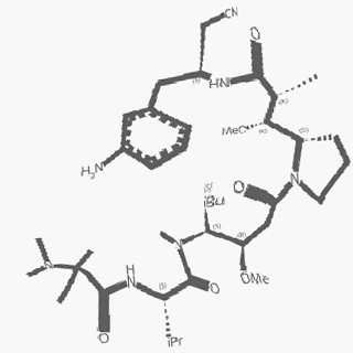 CC[C@H](C)[C@@H]([C@@H](CC(=O)N1CCC[C@H]1[C@H](OC)[C@@H](C)C(=O)N[C@H](CC#N)Cc1cccc(N)c1)OC)N(C)C(=O)[C@@H](NC(=O)C(C)(C)N(C)C)C(C)C